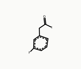 O=C(I)Cc1cccc(F)c1